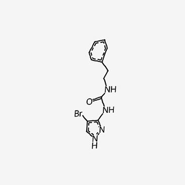 O=C(NCCc1ccccc1)Nc1n[nH]cc1Br